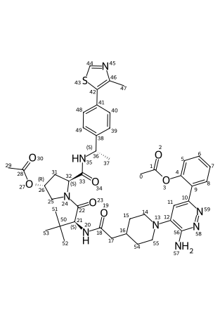 CC(=O)Oc1ccccc1-c1cc(N2CCC(CC(=O)N[C@H](C(=O)N3C[C@H](OC(C)=O)C[C@H]3C(=O)N[C@@H](C)c3ccc(-c4scnc4C)cc3)C(C)(C)C)CC2)c(N)nn1